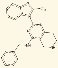 FC(F)(F)c1nc2ccccc2n1-c1nc2c(c(NCc3ccccc3)n1)CNCC2